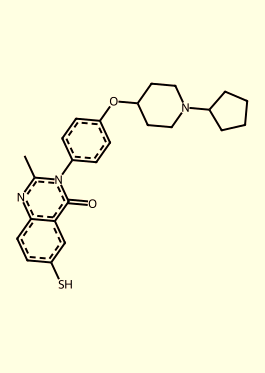 Cc1nc2ccc(S)cc2c(=O)n1-c1ccc(OC2CCN(C3CCCC3)CC2)cc1